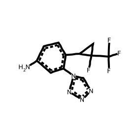 Nc1ccc(C2CC2(F)C(F)(F)F)c(-n2cnnn2)c1